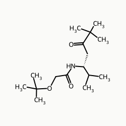 CC(C)[C@@H](CC(=O)C(C)(C)C)NC(=O)COC(C)(C)C